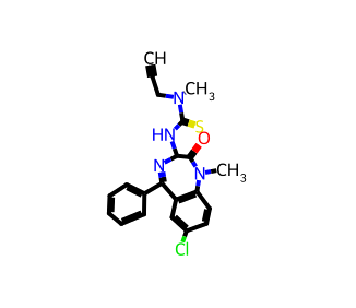 C#CCN(C)C(=S)NC1N=C(c2ccccc2)c2cc(Cl)ccc2N(C)C1=O